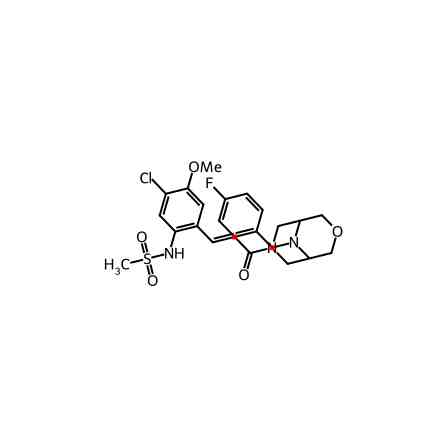 COc1cc(C=CC(=O)N2CC3COCC(C2)N3Cc2ccc(F)cc2)c(NS(C)(=O)=O)cc1Cl